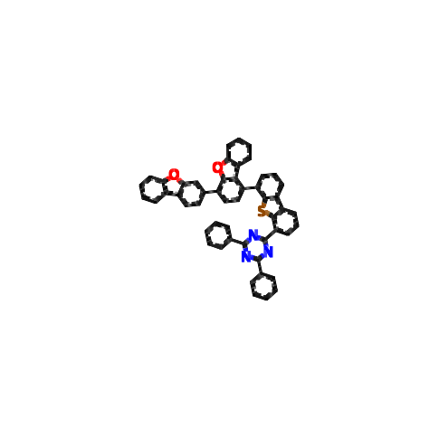 c1ccc(-c2nc(-c3ccccc3)nc(-c3cccc4c3sc3c(-c5ccc(-c6ccc7c(c6)oc6ccccc67)c6oc7ccccc7c56)cccc34)n2)cc1